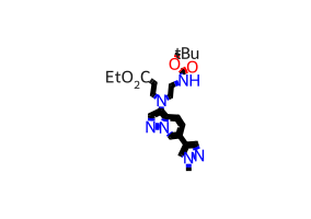 CCOC(=O)CCN(CCNC(=O)OC(C)(C)C)c1cnn2cc(-c3cnn(C)c3)ccc12